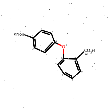 CCCCCCCCCc1ccc(Oc2ccccc2C(=O)O)cc1